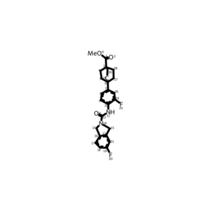 COC(=O)C12CCC(c3ccc(NC(=O)N4Cc5ccc(F)cc5C4)c(F)c3)(CC1)CC2